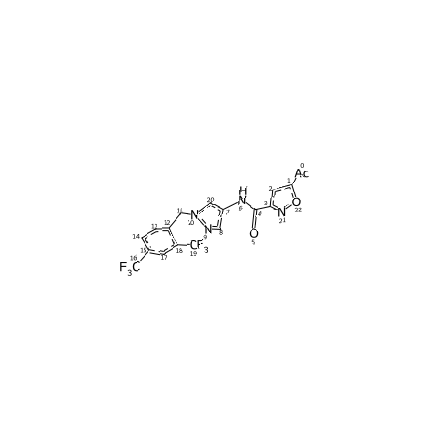 CC(=O)c1cc(C(=O)Nc2cnn(Cc3ccc(C(F)(F)F)cc3C(F)(F)F)c2)no1